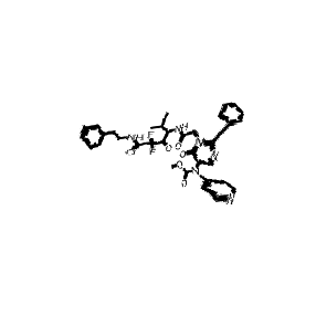 COC(=O)N(c1ccncc1)c1cnc(-c2ccccc2)n(CC(=O)NC(C(=O)C(F)(F)C(=O)NCCc2ccccc2)C(C)C)c1=O